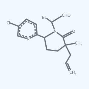 C=CCC1(C)CCC(c2ccc(Cl)cn2)N(C(C=O)CC)C1=O